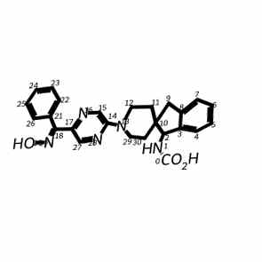 O=C(O)NC1c2ccccc2CC12CCN(c1cnc(C(=NO)c3ccccc3)cn1)CC2